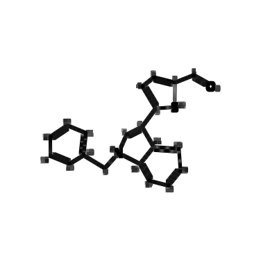 O=Cc1ccc(-c2cn(Cc3ccccc3)c3ccccc23)s1